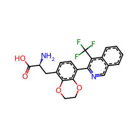 N[C@@H](Cc1ccc(-c2ncc3ccccc3c2C(F)(F)F)c2c1OCCO2)C(=O)O